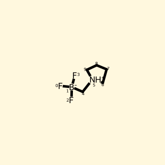 F[B-](F)(F)C[NH+]1CCCC1